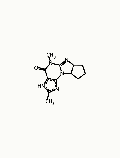 Cc1nc2c([nH]1)C(=O)N(C)C1=NC3CCCC3N12